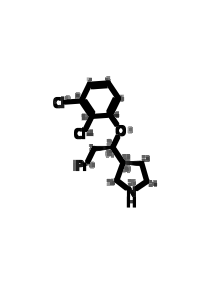 CC(C)C[C@@H](Oc1cccc(Cl)c1Cl)[C@H]1CCNC1